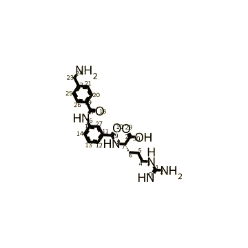 N=C(N)NCCC[C@H](NC(=O)c1cccc(NC(=O)c2ccc(CN)cc2)c1)C(=O)O